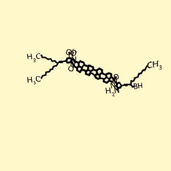 B=CC(C#Cc1cc(N)c2nc3c4ccc5c6ccc7c8ccc9c%10ccc%11c(=O)n%12c%13cc(C#CC(CCCCCCCC)CCCCCCCCCC)cc([N+](=O)[O-])c%13nc%12c%12ccc(c%13ccc(c%14ccc(c%15ccc(c(=O)n3c2c1)c4c5%15)c6c7%14)c8c9%13)c%10c%11%12)CCCCCCCCCC